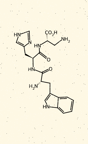 NC[C@H](NC(=O)[C@H](Cc1c[nH]cn1)NC(=O)[C@@H](N)Cc1c[nH]c2ccccc12)C(=O)O